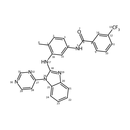 Cc1ccc(NC(=O)c2cccc(C(F)(F)F)c2)cc1Nc1nc2ccccc2n1-c1ccncn1